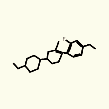 CCc1ccc(C2=C(C)CC(C3CCC(CC)CC3)CC2)c(F)c1